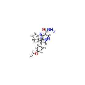 CC(C)Oc1ccc(-c2cc3c(N[C@@H]4CCC(C)C4(C)C)c(C(N)=O)cnn3c2)cc1